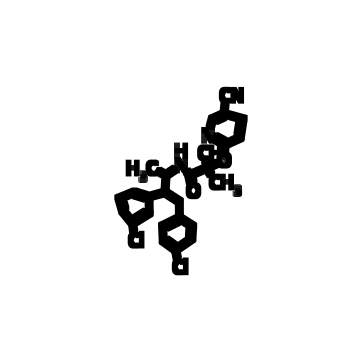 CC(NC(=O)C(C)(C)Oc1ccc(C#N)cn1)C(Cc1ccc(Cl)cc1)c1cccc(Cl)c1